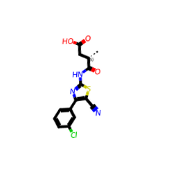 C[C@@H](CC(=O)O)C(=O)Nc1nc(-c2cccc(Cl)c2)c(C#N)s1